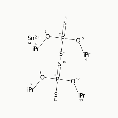 CC(C)OP(=S)([S-])OC(C)C.CC(C)OP(=S)([S-])OC(C)C.[Sn+2]